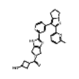 Cc1cccc(-c2nn3c(c2-c2ccnc(-c4nc5c([nH]4)CN(C(=O)C4CC(O)C4)C5)c2)CCC3)n1